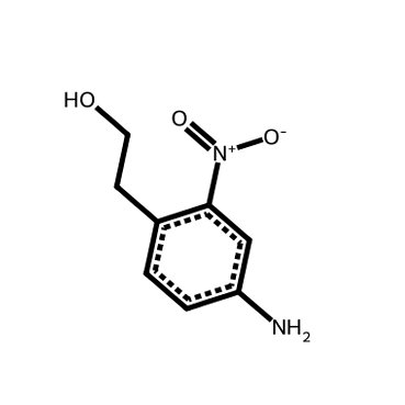 Nc1ccc(CCO)c([N+](=O)[O-])c1